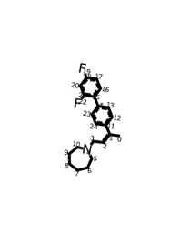 CC(=CCN1CCCCCC1)c1ccc(-c2ccc(F)cc2F)cc1